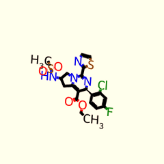 CCOC(=O)C1=C2CC(NS(C)(=O)=O)CN2C(c2nccs2)=N[C@H]1c1ccc(F)cc1Cl